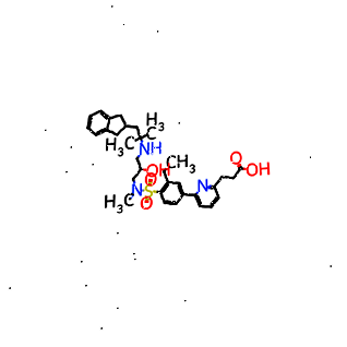 CCc1cc(-c2cccc(CCC(=O)O)n2)ccc1S(=O)(=O)N(C)C[C@H](O)CNC(C)(C)CC1Cc2ccccc2C1